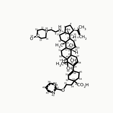 C=C(C)[C@@H]1CC[C@]2(NCCN3CC[S+]([O-])CC3)CC[C@]3(C)[C@H](CC[C@@H]4[C@@]5(C)CC=C(C6=CCC(CCOc7ncccn7)(C(=O)O)CC6)C(C)(C)[C@@H]5CC[C@]43C)[C@@H]12